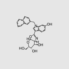 OC[C@H]1O[C@@H]2OC(c3cn(Cc4ccc5ccccc5c4)c4cc(O)ccc34)=N[C@@H]2[C@@H](O)[C@@H]1O